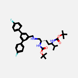 CC(C)C(CC[C@@H](CNCc1cc(-c2ccc(F)cc2)cc(-c2ccc(F)cc2)c1)NC(=O)OC(C)(C)C)NC(=O)OC(C)(C)C